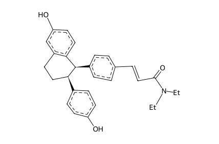 CCN(CC)C(=O)C=Cc1ccc([C@@H]2c3ccc(O)cc3CC[C@@H]2c2ccc(O)cc2)cc1